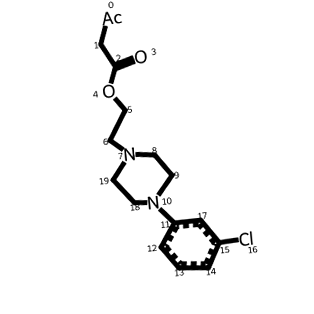 CC(=O)CC(=O)OCCN1CCN(c2cccc(Cl)c2)CC1